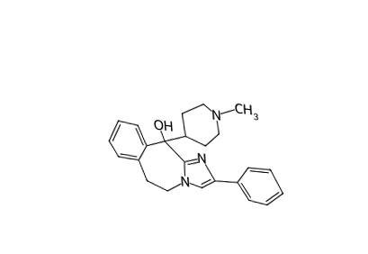 CN1CCC(C2(O)c3ccccc3CCn3cc(-c4ccccc4)nc32)CC1